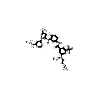 CNc1cc(-n2nc(C)cc2Nc2cc(NC(=O)c3cc(N(C)CCOC)cc(C(F)(F)F)c3)ccc2C)ncn1